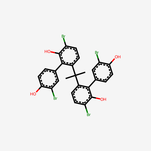 CC(C)(c1ccc(Br)c(O)c1-c1ccc(O)c(Br)c1)c1ccc(Br)c(O)c1-c1ccc(O)c(Br)c1